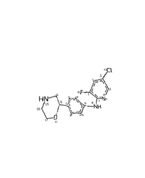 Fc1cc(Cl)cnc1Nc1ccc(C2CNCCO2)cc1